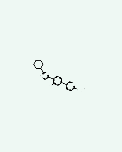 COc1ccc(-c2ccc(-c3cnc(C4CCCCC4)s3)c(S)c2)cn1